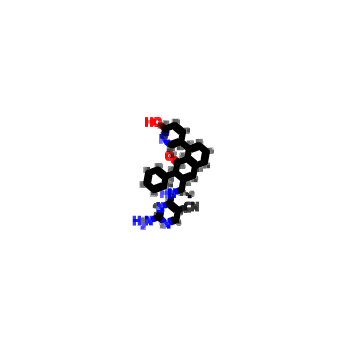 C[C@H](Nc1nc(N)ncc1C#N)C1=Cc2cccc(-c3ccc(O)nc3)c2C(=O)C1c1ccccc1